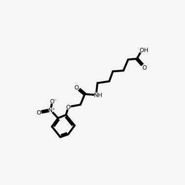 O=C(O)CCCCCNC(=O)COc1ccccc1[N+](=O)[O-]